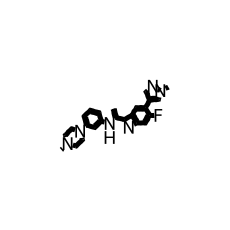 C=C(Nc1cccc(N2CCN(C)CC2)c1)C1=Nc2cc(F)c(-c3cnn(C)c3)cc21